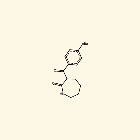 CCCCc1ccc(C(=O)C2CCCCNC2=O)cc1